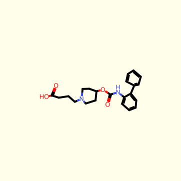 O=C(O)CCCN1CCC(OC(=O)Nc2ccccc2-c2ccccc2)CC1